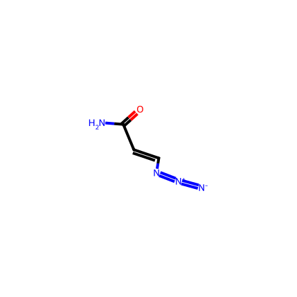 [N-]=[N+]=NC=CC(N)=O